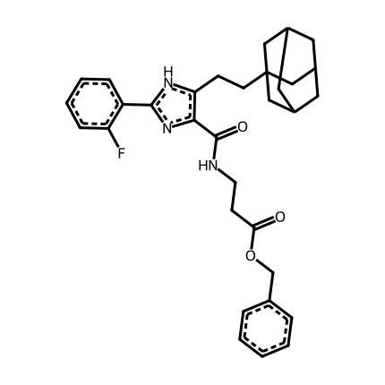 O=C(CCNC(=O)c1nc(-c2ccccc2F)[nH]c1CCC12CC3CC(CC(C3)C1)C2)OCc1ccccc1